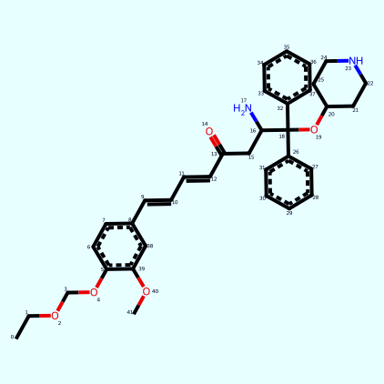 CCOCOc1ccc(C=CC=CC(=O)CC(N)C(OC2CCNCC2)(c2ccccc2)c2ccccc2)cc1OC